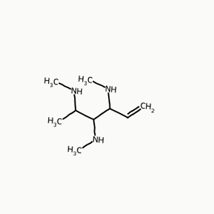 C=CC(NC)C(NC)C(C)NC